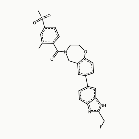 Cc1cc(S(C)(=O)=O)ccc1C(=O)N1CCOc2ccc(-c3ccc4nc(CF)[nH]c4c3)cc2C1